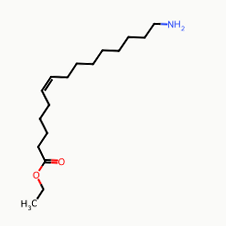 CCOC(=O)CCCC/C=C\CCCCCCCCN